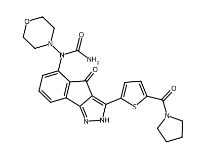 NC(=O)N(c1cccc2c1C(=O)c1c-2n[nH]c1-c1ccc(C(=O)N2CCCC2)s1)N1CCOCC1